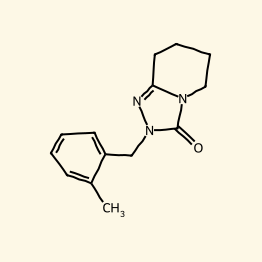 Cc1ccccc1Cn1nc2n(c1=O)CCCC2